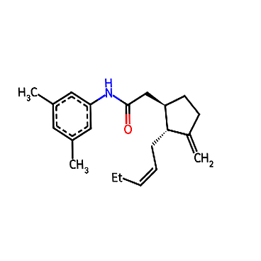 C=C1CC[C@H](CC(=O)Nc2cc(C)cc(C)c2)[C@H]1C/C=C\CC